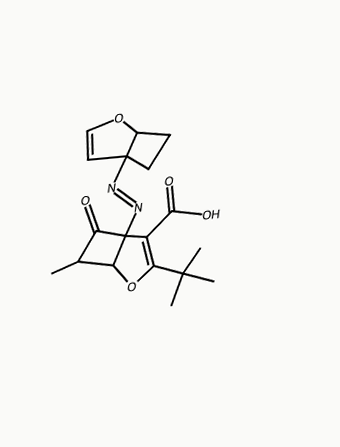 CC1C(=O)C2(N=NC34C=COC3CC4)C(C(=O)O)=C(C(C)(C)C)OC12